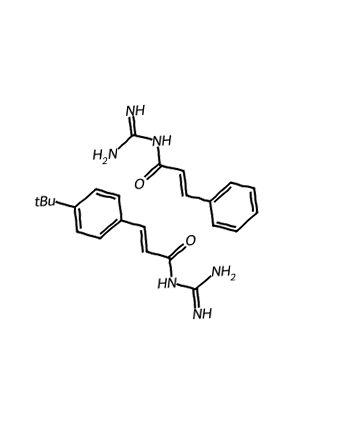 CC(C)(C)c1ccc(C=CC(=O)NC(=N)N)cc1.N=C(N)NC(=O)C=Cc1ccccc1